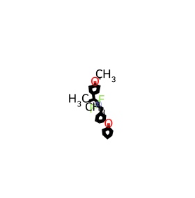 CCOc1ccc(C(/C(F)=C(\F)Cc2cccc(Oc3ccccc3)c2)C(C)C)cc1